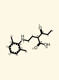 CCC(=O)C(CCNc1c(C)cccc1C)C(=O)O